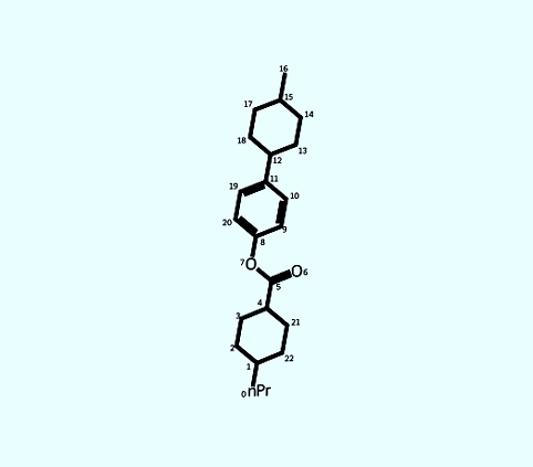 CCCC1CCC(C(=O)Oc2ccc(C3CCC(C)CC3)cc2)CC1